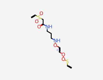 C=CSOO/C=C/ONCCCNC(=O)CS(=O)(=O)C=C